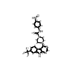 FC(F)(F)c1ccc2c(c1)[nH]c1ncnc(N3CCN(C(=S)Nc4ccc(NCl)cc4)CC3)c12